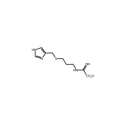 N=C(NCCCSCc1c[nH]cn1)C(=O)O